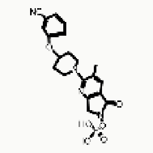 Cc1cc2c(nc1N1CCC(Oc3cccc(C#N)c3)CC1)CN(OP(=O)(O)O)C2=O